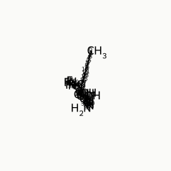 CCCCCCCCCCCCCCCCCCOC[C@H](COP(=O)(O)O[C@H]1O[C@@](C#N)(c2ccc3c(N)ncnn23)[C@H](O)[C@@H]1O)OCc1cnc(C(F)(F)F)nc1